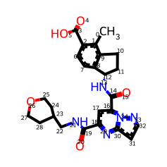 Cc1c(C(=O)O)ccc2c1CC[C@@H]2NC(=O)c1cc(C(=O)NCC2CCOCC2)nc2ccnn12